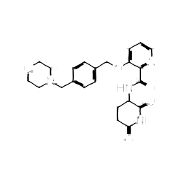 O=C1CCC(NC(=O)c2ncccc2OCc2ccc(CN3CCOCC3)cc2)C(=O)N1